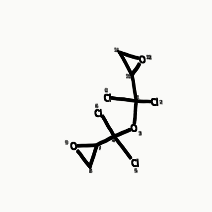 ClC(Cl)(OC(Cl)(Cl)C1CO1)C1CO1